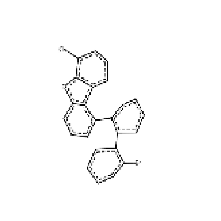 Clc1cccc2c1oc1cccc(-c3ccccc3-c3ccccc3Br)c12